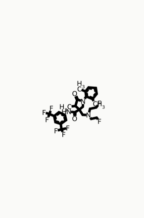 Cc1cccc(C)c1N1CC(CN(CCF)CCF)(C(=O)Nc2cc(C(F)(F)F)cc(C(F)(F)F)c2)C(C)C1=O